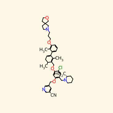 CC1=C(COc2cc(OCc3cncc(C#N)c3)c(CN3CCCC[C@H]3C(=O)O)cc2Cl)C(C)CC=C1c1cccc(OCCCN2CCC3(CCOC3)C2)c1C